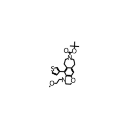 COCCN1CCOc2cc3c(c(-c4ccsc4)c21)CCN(C(=O)OC(C)(C)C)CC3